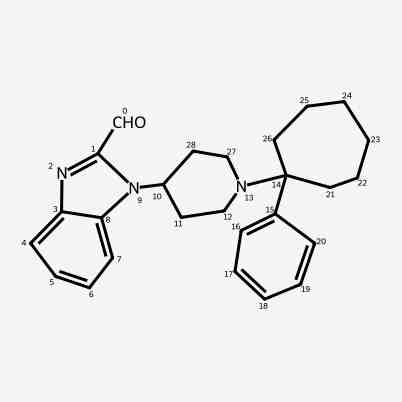 O=Cc1nc2ccccc2n1C1CCN(C2(c3ccccc3)CCCCCC2)CC1